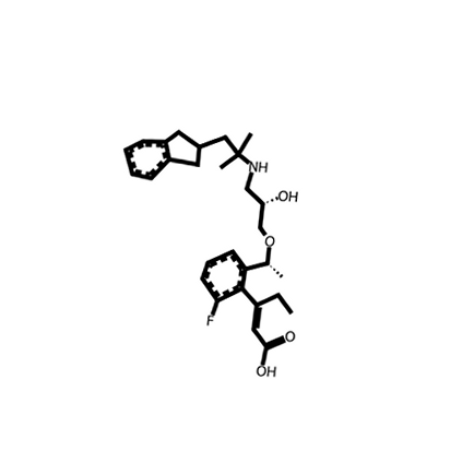 CC/C(=C\C(=O)O)c1c(F)cccc1[C@@H](C)OC[C@@H](O)CNC(C)(C)CC1Cc2ccccc2C1